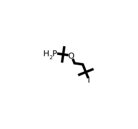 CC(C)(I)CCOC(C)(C)P